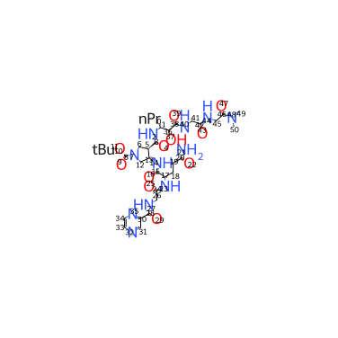 CCC[C@H](NC(=O)[C@@H]1CN(C(=O)OC(C)(C)C)C[C@@H]1NC(=O)C(CCC(N)=O)NC(=O)CNC(=O)c1cnccn1)C(O)C(=O)NCC(=O)NCC(=O)N(C)C